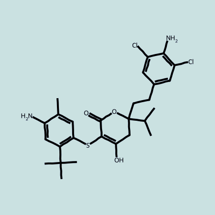 Cc1cc(SC2=C(O)CC(CCc3cc(Cl)c(N)c(Cl)c3)(C(C)C)OC2=O)c(C(C)(C)C)cc1N